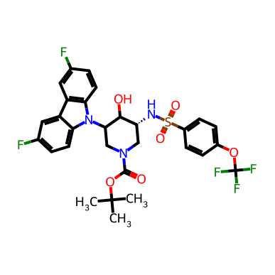 CC(C)(C)OC(=O)N1CC(n2c3ccc(F)cc3c3cc(F)ccc32)C(O)[C@H](NS(=O)(=O)c2ccc(OC(F)(F)F)cc2)C1